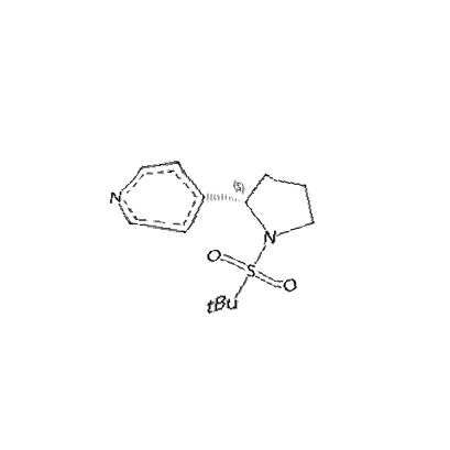 CC(C)(C)S(=O)(=O)N1CCC[C@H]1c1ccncc1